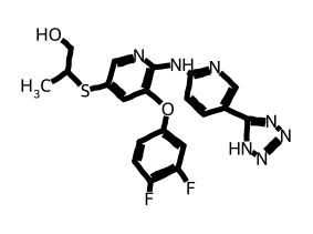 CC(CO)Sc1cnc(Nc2ccc(-c3nnn[nH]3)cn2)c(Oc2ccc(F)c(F)c2)c1